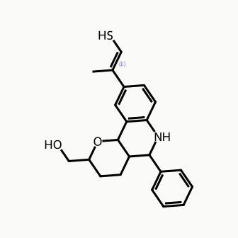 C/C(=C\S)c1ccc2c(c1)C1OC(CO)CCC1C(c1ccccc1)N2